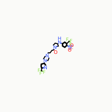 O=C(CCCN1CCN(c2ccc(C(F)(F)F)nc2)CC1)N1CC[C@H](Nc2ccc([N+](=O)[O-])c(C(F)(F)F)c2)C1